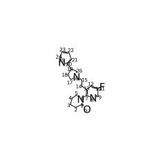 O=C1CCCCN1c1ncc(F)cc1CCN1CCC(c2ccccn2)C1